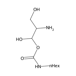 CCCCCCNC(=O)OC(O)C(N)CO